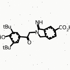 CC(C)(C)c1cc(C(=O)CN2Cc3ccc(C(=O)O)cc3C2=N)cc(C(C)(C)C)c1O